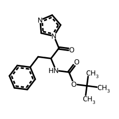 CC(C)(C)OC(=O)NC(Cc1ccccc1)C(=O)n1ccnc1